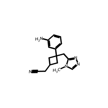 Cn1cnnc1CC1(c2cccc(N)c2)CC(CC#N)C1